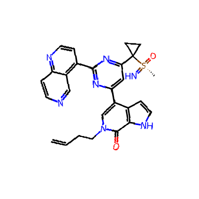 C=CCCn1cc(-c2cc(C3([S@](C)(=N)=O)CC3)nc(-c3ccnc4ccncc34)n2)c2cc[nH]c2c1=O